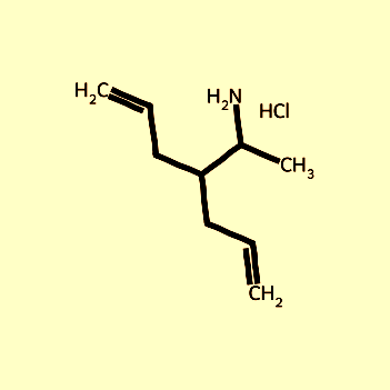 C=CCC(CC=C)C(C)N.Cl